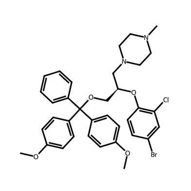 COc1ccc(C(OC[C@@H](CN2CCN(C)CC2)Oc2ccc(Br)cc2Cl)(c2ccccc2)c2ccc(OC)cc2)cc1